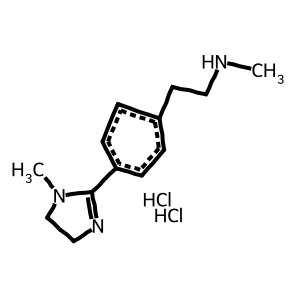 CNCCc1ccc(C2=NCCN2C)cc1.Cl.Cl